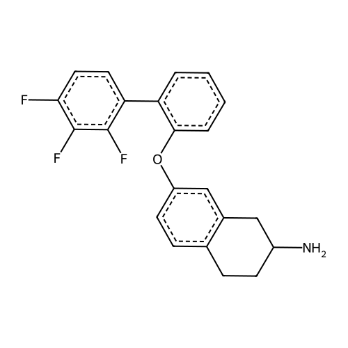 NC1CCc2ccc(Oc3ccccc3-c3ccc(F)c(F)c3F)cc2C1